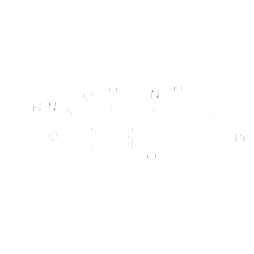 COc1ccc(S(N)(=O)=O)c(OC)c1-c1noc2cc(Br)c(C)cc12